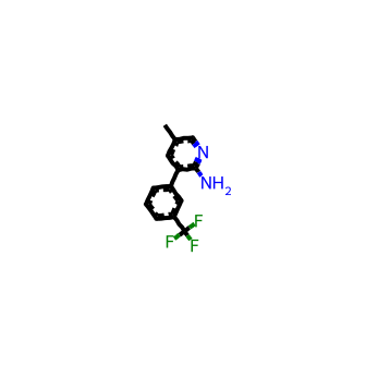 Cc1cnc(N)c(-c2cccc(C(F)(F)F)c2)c1